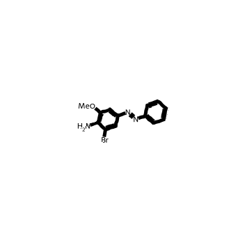 COc1cc(/N=N/c2ccccc2)cc(Br)c1N